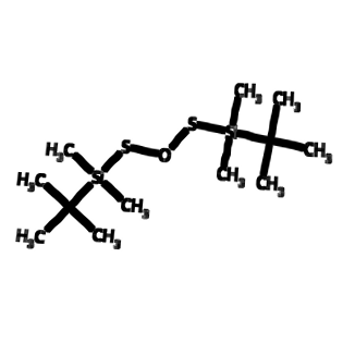 CC(C)(C)[Si](C)(C)SOS[Si](C)(C)C(C)(C)C